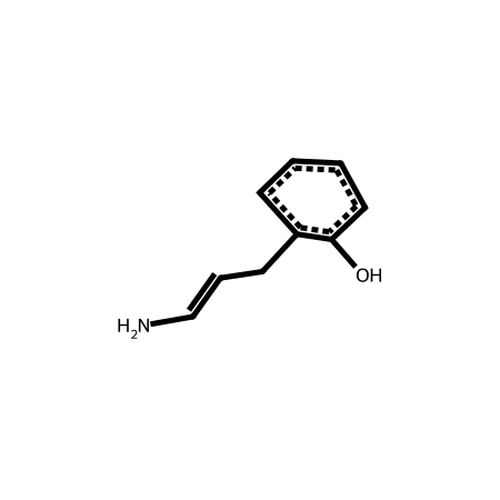 NC=CCc1ccccc1O